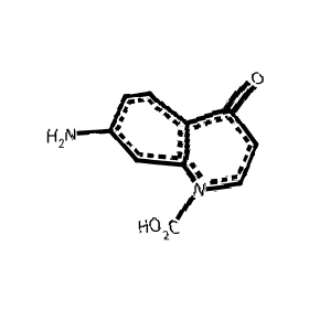 Nc1ccc2c(=O)ccn(C(=O)O)c2c1